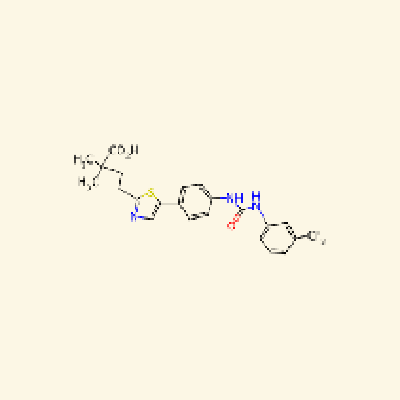 CC(C)(CCc1ncc(-c2ccc(NC(=O)Nc3cccc(C(F)(F)F)c3)cc2)s1)C(=O)O